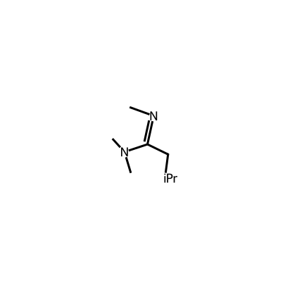 C/N=C(/CC(C)C)N(C)C